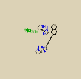 C(C#Cc1ccc2ccccc2c1-c1cnc([C@@H]2CCCN2)[nH]1)#Cc1cnc([C@@H]2CCCN2)[nH]1.Cl.Cl.Cl.Cl